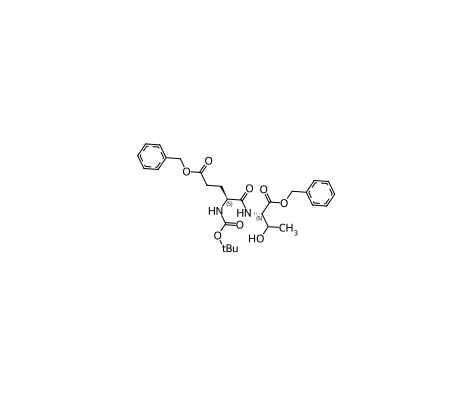 CC(O)[C@H](NC(=O)[C@H](CCC(=O)OCc1ccccc1)NC(=O)OC(C)(C)C)C(=O)OCc1ccccc1